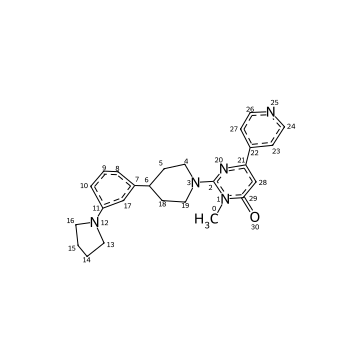 Cn1c(N2CCC(c3cccc(N4CCCC4)c3)CC2)nc(-c2ccncc2)cc1=O